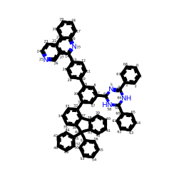 c1ccc(C2=NC(c3cc(-c4ccc(-c5nc6ccccc6c6ccncc56)cc4)cc(-c4cccc5c4-c4ccccc4C5(c4ccccc4)c4ccccc4)c3)NC(c3ccccc3)N2)cc1